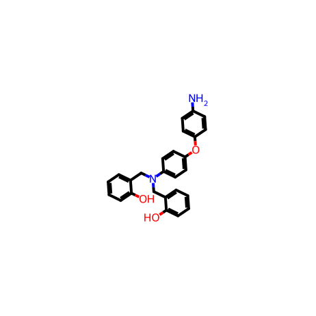 Nc1ccc(Oc2ccc(N(Cc3ccccc3O)Cc3ccccc3O)cc2)cc1